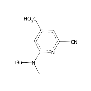 CCCCN(C)c1cc(C(=O)O)cc(C#N)n1